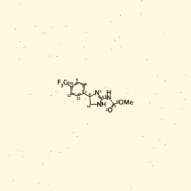 COC(=O)NC1=NC(c2ccc(C(F)(F)F)cc2)CN1